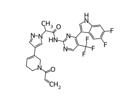 C=CC(=O)N1CCC=C(c2cnn(C(C)C(=O)Nc3ncc(C(F)(F)F)c(-c4c[nH]c5cc(F)c(F)cc45)n3)c2)C1